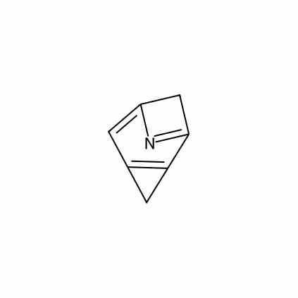 c1c2nc(c3c1C3)C2